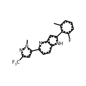 Cc1cccc(F)c1-c1cc2nc(-c3cc(C(F)(F)F)nn3C)ccc2[nH]1